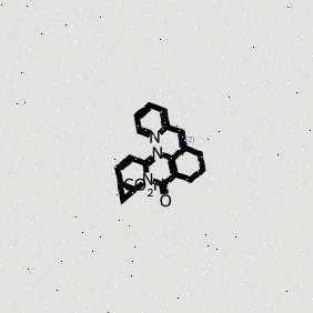 O=C(O)C12C=Cc3nc4c(c(=O)n3C1C2)CCC/C4=C/c1ccccn1